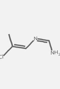 C/C(Cl)=C\N=C/N